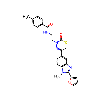 Cc1ccc(C(=O)NCCN2N=C(c3ccc4c(c3)nc(-c3ccco3)n4C)CSC2=O)cc1